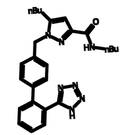 CCCCNC(=O)c1cc(CCCC)n(Cc2ccc(-c3ccccc3-c3nnn[nH]3)cc2)n1